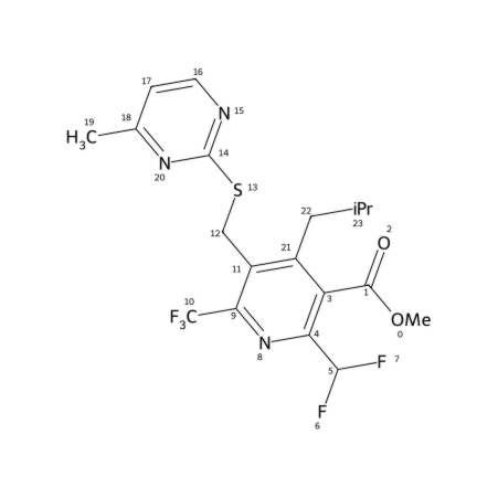 COC(=O)c1c(C(F)F)nc(C(F)(F)F)c(CSc2nccc(C)n2)c1CC(C)C